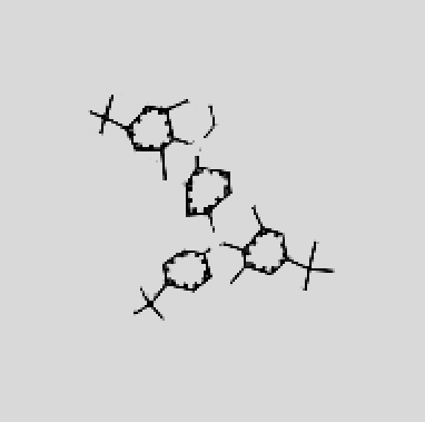 CCN(c1ccc(N(c2ccc(C(C)(C)C)cc2)c2c(C)cc(C(C)(C)C)cc2C)cc1)c1c(C)cc(C(C)(C)C)cc1C